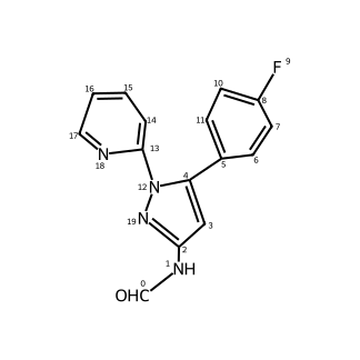 O=CNc1cc(-c2ccc(F)cc2)n(-c2ccccn2)n1